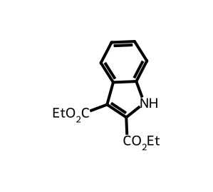 CCOC(=O)c1[nH]c2ccccc2c1C(=O)OCC